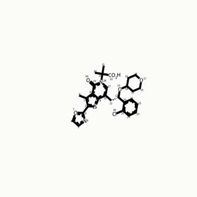 Cc1c(-c2ncco2)sc2c(C[C@H](OC3CCOCC3)c3ccccc3Cl)cn(C(C)(C)C(=O)O)c(=O)c12